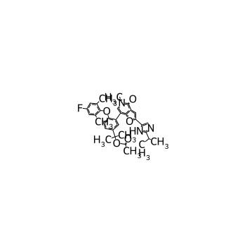 CC(=O)OC(C)(C)c1ccc(Oc2c(C)cc(F)cc2C)c(-c2cn(C)c(=O)c3cc(-c4cnc(C(C)C)[nH]4)oc23)c1